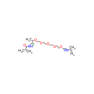 CC(C)NCCOCCOCCOCCOCCOC(C)C(F)CNC(=O)C(C)C